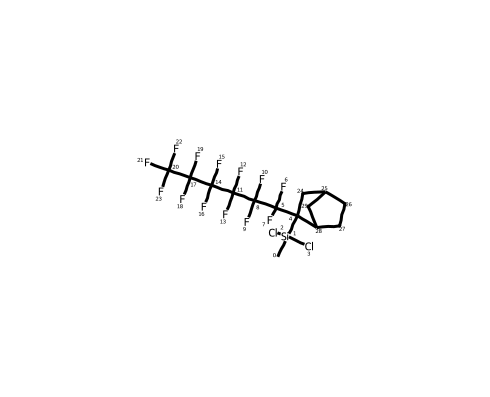 C[Si](Cl)(Cl)C1(C(F)(F)C(F)(F)C(F)(F)C(F)(F)C(F)(F)C(F)(F)F)CC2CCC1C2